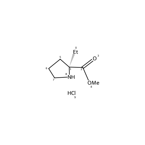 CC[C@@]1(C(=O)OC)CCCN1.Cl